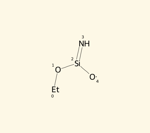 CCO[Si](=N)[O]